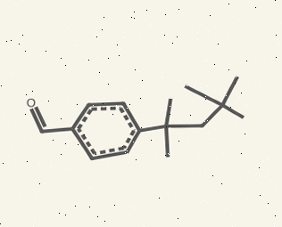 CC(C)(C)CC(C)(C)c1ccc(C=O)cc1